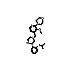 COc1c(CN2CCN[C@@H](c3ccccc3OC(C)C)C2)ccnc1N1CCOCC1